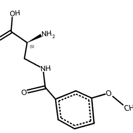 COc1cccc(C(=O)NC[C@H](N)C(=O)O)c1